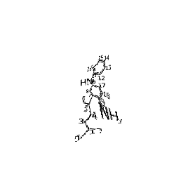 CC(C)CCC(C)c1cc(Nc2ccccc2)ccc1N